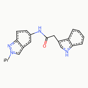 CC(C)n1cc2cc(NC(=O)Cc3c[nH]c4ccccc34)ccc2n1